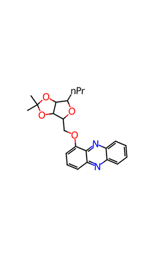 CCCC1OC(COc2cccc3nc4ccccc4nc23)C2OC(C)(C)OC12